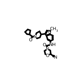 Cn1cc(C2CCN(C(=O)C3CCCC3)CC2)c2cc(NC(=O)N3CCOC(C#N)C3)ccc21